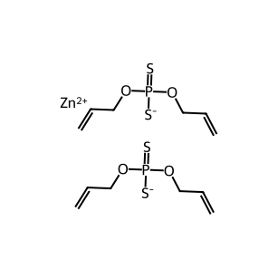 C=CCOP(=S)([S-])OCC=C.C=CCOP(=S)([S-])OCC=C.[Zn+2]